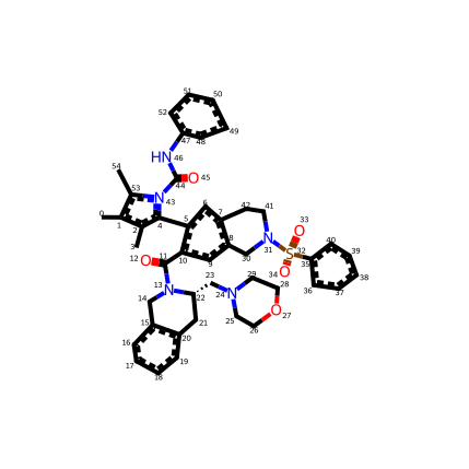 Cc1c(C)c(-c2cc3c(cc2C(=O)N2Cc4ccccc4C[C@H]2CN2CCOCC2)CN(S(=O)(=O)c2ccccc2)CC3)n(C(=O)Nc2ccccc2)c1C